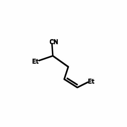 CC/C=C\CC(C#N)CC